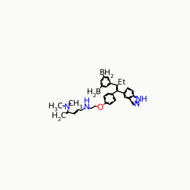 Bc1cc(B)cc(/C(CC)=C(\c2ccc(OCCNC/C=C/C(=C)N(C)C)cc2)c2ccc3[nH]ncc3c2)c1